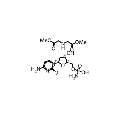 COC(=O)CNCC(=O)OC.Nc1ccn([C@H]2C[C@H](O)[C@@H](COP(N)(=O)O)O2)c(=O)n1